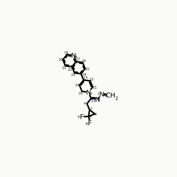 C=N/N=C(/CC1CC1(F)F)N1C=CC(c2ccc3ncccc3c2)=CC1